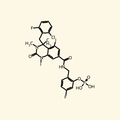 CN1C(=O)N(I)c2cc(C(=O)NCc3ccc(F)cc3OP(=O)(O)O)cc(I)c2C1(C)Cc1c(F)cccc1Cl